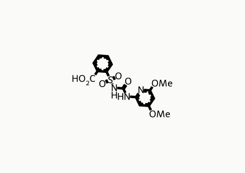 COc1cc(NC(=O)NS(=O)(=O)c2ccccc2C(=O)O)nc(OC)c1